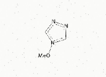 COn1cnnc1